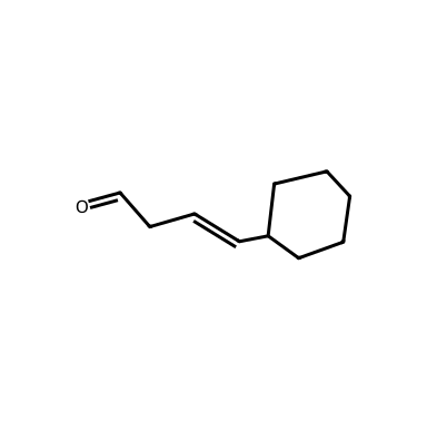 O=CCC=CC1CCCCC1